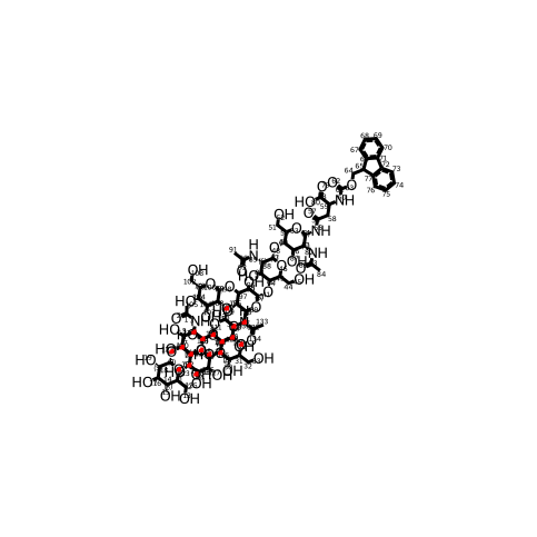 CC(=O)NC1C(O)[C@H](O[C@@H]2OC(CO)[C@H](O)C(O)[C@@H]2O)[C@H](CO)O[C@H]1O[C@@H]1C(O)[C@H](O)C(CO)O[C@@H]1OCC1O[C@@H](O[C@@H]2C(CO)O[C@@H](O[C@@H]3C(CO)O[C@@H](NC(=O)CC(NC(=O)OCC4c5ccccc5-c5ccccc54)C(=O)O)[C@@H](NC(C)=O)C3O)[C@@H](NC(C)=O)C2O)[C@H](O)C(O[C@H]2O[C@H](CO)[C@@H](O)C(O)C2O[C@@H]2OC(CO)[C@@H](O[C@@H]3OC(CO)[C@H](O)C(O)[C@@H]3O)C(O)[C@@H]2NC(C)=O)[C@@H]1O